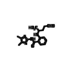 Cc1nc(NC(=O)c2ccccc2NC(CCC=O)C(=O)O)sc1C